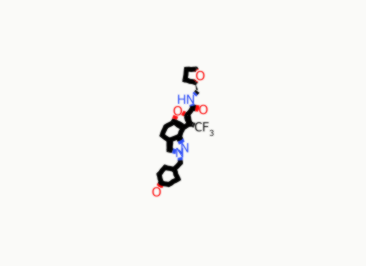 O=C1CCC(Cn2cc3c(n2)-c2c(oc(C(=O)NC[C@@H]4CCCO4)c2C(F)(F)F)CC3)CC1